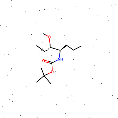 CCC[C@@H](NC(=O)OC(C)(C)C)[C@H](CC)OC